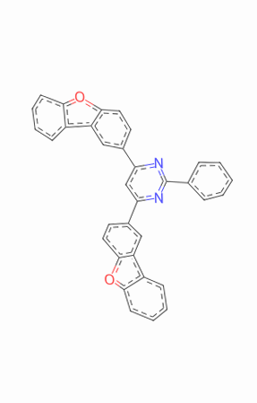 c1ccc(-c2nc(-c3ccc4oc5ccccc5c4c3)cc(-c3ccc4oc5ccccc5c4c3)n2)cc1